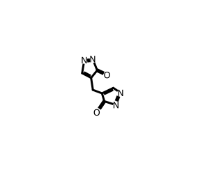 O=C1N=NC=C1CC1=CN=NC1=O